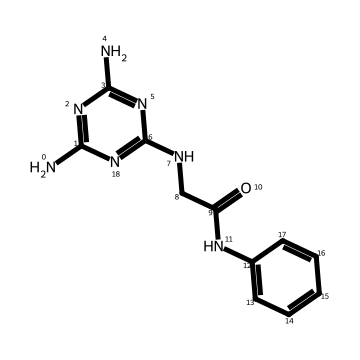 Nc1nc(N)nc(NCC(=O)Nc2ccccc2)n1